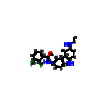 CCNC1CCc2[nH]c3ccc(NC(=O)c4cccc(F)c4F)cc3c2C1